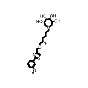 COc1cccc(-c2nc(COC[C@@H](F)CCCCN3C[C@H](O)[C@@H](O)[C@H](O)[C@@H](O)C3)cs2)c1